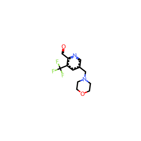 O=Cc1ncc(CN2CCOCC2)cc1C(F)(F)F